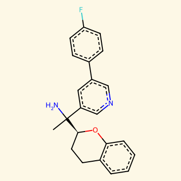 CC(N)(c1cncc(-c2ccc(F)cc2)c1)[C@@H]1CCc2ccccc2O1